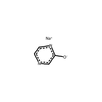 [Na+].[O-]c1cnccn1